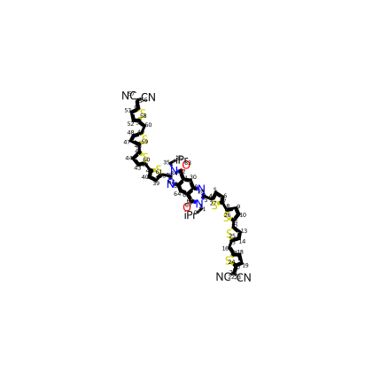 CC(C)Cn1c(-c2ccc(-c3ccc(-c4ccc(/C=c5\ccc(=C(C#N)C#N)s5)s4)s3)s2)nc2cc3c(=O)n(CC(C)C)c(-c4ccc(-c5ccc(-c6ccc(/C=c7\ccc(=C(C#N)C#N)s7)s6)s5)s4)nc3cc2c1=O